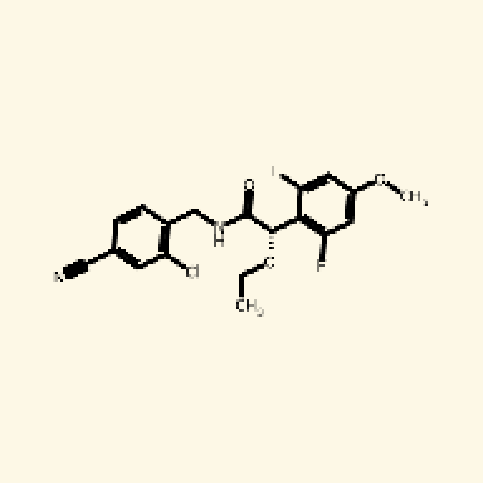 CCO[C@H](C(=O)NCc1ccc(C#N)cc1Cl)c1c(F)cc(OC)cc1F